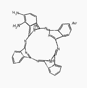 Nc1ccc2c3nc4nc(nc5[nH]c(nc6nc(nc([nH]3)c2c1N)-c1ccccc1-6)c1ccccc51)-c1ccccc1-4.[Au]